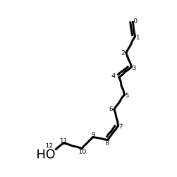 C=CC/C=C/CC/C=C\CCCO